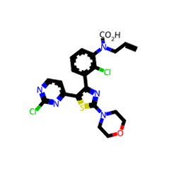 C=CCN(C(=O)O)c1cccc(-c2nc(N3CCOCC3)sc2-c2ccnc(Cl)n2)c1Cl